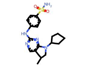 CC1CN(C2CCCC2)c2nc(Nc3ccc(S(N)(=O)=O)cc3)ncc21